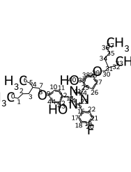 CCCCC(CC)COc1ccc(-c2nc(-c3ccc(F)cc3)nc(-c3ccc(OCC(CC)CCCC)cc3O)n2)c(O)c1